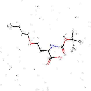 CCCCOCC[C@@H](NC(=O)OC(C)(C)C)C(=O)O